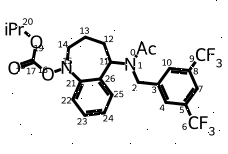 CC(=O)N(Cc1cc(C(F)(F)F)cc(C(F)(F)F)c1)C1CCCN(OC(=O)OC(C)C)c2ccccc21